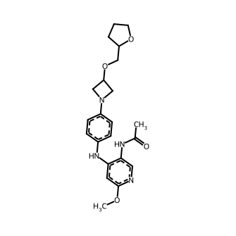 COc1cc(Nc2ccc(N3CC(OCC4CCCO4)C3)cc2)c(NC(C)=O)cn1